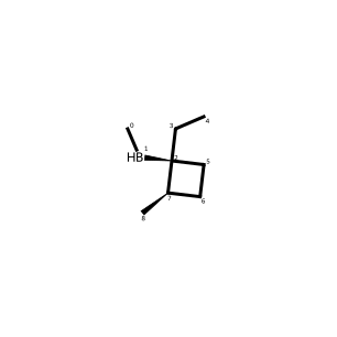 CB[C@@]1(CC)CC[C@H]1C